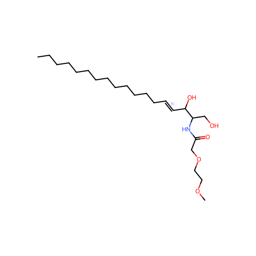 CCCCCCCCCCCCC/C=C/C(O)C(CO)NC(=O)COCCOC